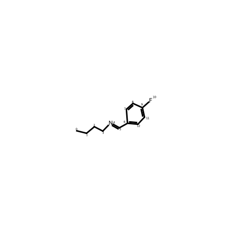 CCCCN=Cc1ccc(F)cc1